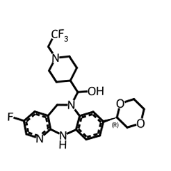 OC(C1CCN(CC(F)(F)F)CC1)N1Cc2cc(F)cnc2Nc2ccc([C@@H]3COCCO3)cc21